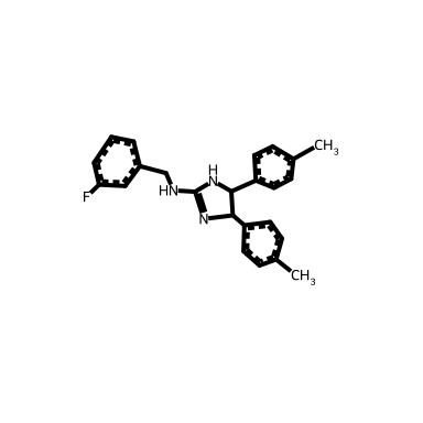 Cc1ccc(C2N=C(NCc3cccc(F)c3)NC2c2ccc(C)cc2)cc1